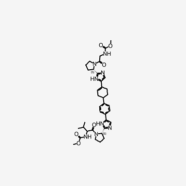 COC(=O)NCC(=O)N1CCC[C@H]1c1ncc(C2=CCC(c3ccc(-c4cnc([C@@H]5CCCN5C(=O)C(NC(=O)OC)C(C)C)[nH]4)cc3)CC2)[nH]1